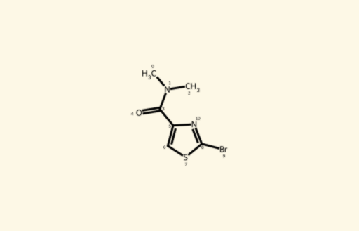 CN(C)C(=O)c1csc(Br)n1